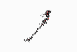 CC[C@@]1(O)C(=O)OCc2c1cc1n(c2=O)Cc2c-1nc1cc(F)c(C)c3c1c2[C@@H](NC(=O)CC1(COCNC(=O)CNC(=O)CNC(=O)CNC(=O)CCOCCOCCOCCOCCOCCOCCOCCOCCNC(=O)CCN2C(=O)CC(C)C2=O)CC1)CC3